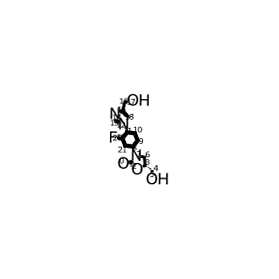 O=C1O[C@@H](CO)CN1c1ccc(-n2cnc(CO)c2)c(F)c1